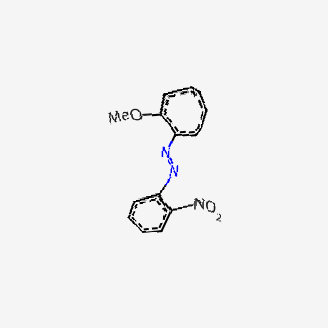 COc1ccccc1N=Nc1ccccc1[N+](=O)[O-]